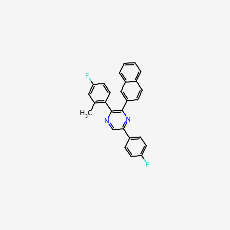 Cc1cc(F)ccc1-c1ncc(-c2ccc(F)cc2)nc1-c1ccc2ccccc2c1